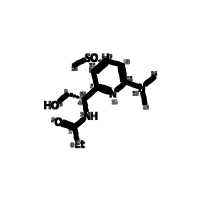 CCC(=O)N[C@H](CO)c1cccc(N(C)C)n1.CS(=O)(=O)O